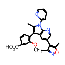 Cc1noc(C)c1-c1cnc2c(c1)c(-c1ccc(C(=O)O)cc1OC(F)(F)F)c(C)n2-c1ccccn1